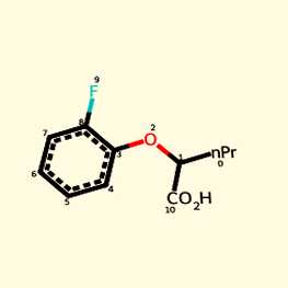 CCCC(Oc1ccccc1F)C(=O)O